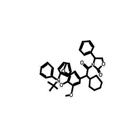 COc1cc(C(C(=O)N2C(=O)OCC2c2ccccc2)C2CCCCC2)cc(OC)c1O[Si](c1ccccc1)(c1ccccc1)C(C)(C)C